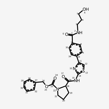 O=C(NCCCO)c1ccc(-c2csc(NC(=O)C3CCCN3C(=O)OCc3ccccc3)n2)cc1